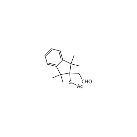 CC(=O)SC1(CC=O)C(C)(C)c2ccccc2C1(C)C